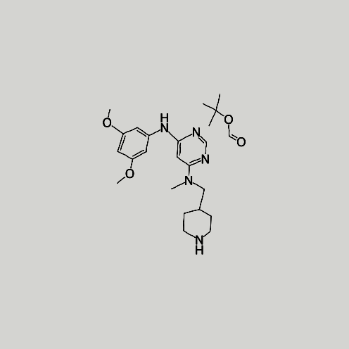 CC(C)(C)OC=O.COc1cc(Nc2cc(N(C)CC3CCNCC3)ncn2)cc(OC)c1